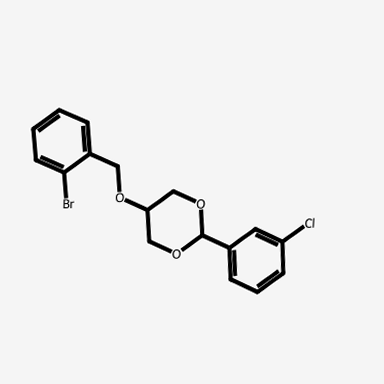 Clc1cccc(C2OCC(OCc3ccccc3Br)CO2)c1